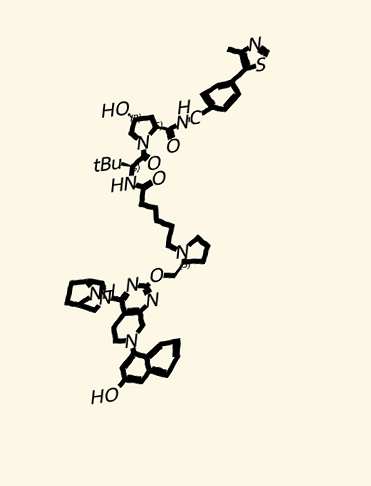 Cc1ncsc1-c1ccc(CNC(=O)[C@@H]2C[C@@H](O)CN2C(=O)[C@@H](NC(=O)CCCCCN2CCC[C@H]2COc2nc3c(c(N4CC5CCC(C4)N5)n2)CCN(c2cc(O)cc4ccccc24)C3)C(C)(C)C)cc1